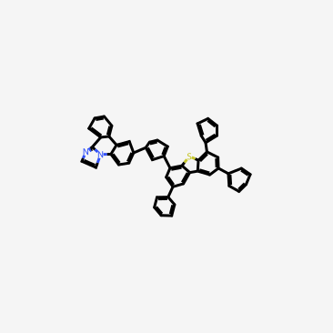 c1ccc(-c2cc(-c3ccccc3)c3sc4c(-c5cccc(-c6ccc7c(c6)c6ccccc6c6nccn76)c5)cc(-c5ccccc5)cc4c3c2)cc1